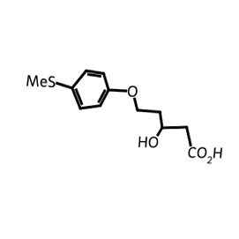 CSc1ccc(OCCC(O)CC(=O)O)cc1